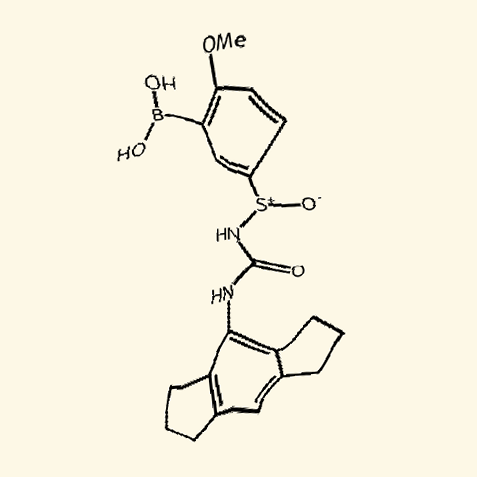 COc1ccc([S+]([O-])NC(=O)Nc2c3c(cc4c2CCC4)CCC3)cc1B(O)O